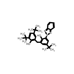 CC(C)(C)c1cc(Cc2cc(C(C)(C)C)cc(C(C)(C)C)c2O)c(O)c(-n2nc3ccccc3n2)c1